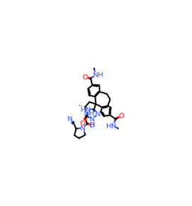 CNC(=O)c1ccc2c(c1)CCc1cc(C(=O)NC)ccc1C2(C[C@@H](C)NCC(=O)N1CCCC1C#N)c1n[nH]c(=O)[nH]1